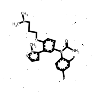 CN(C)CCCOc1ccc(N(C(N)=O)c2ccc(F)cc2F)cc1-c1ccnn1C